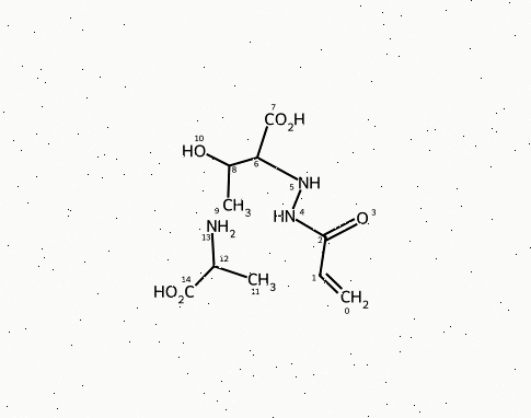 C=CC(=O)NNC(C(=O)O)C(C)O.CC(N)C(=O)O